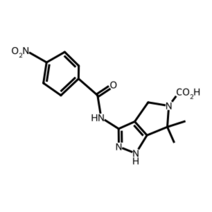 CC1(C)c2[nH]nc(NC(=O)c3ccc([N+](=O)[O-])cc3)c2CN1C(=O)O